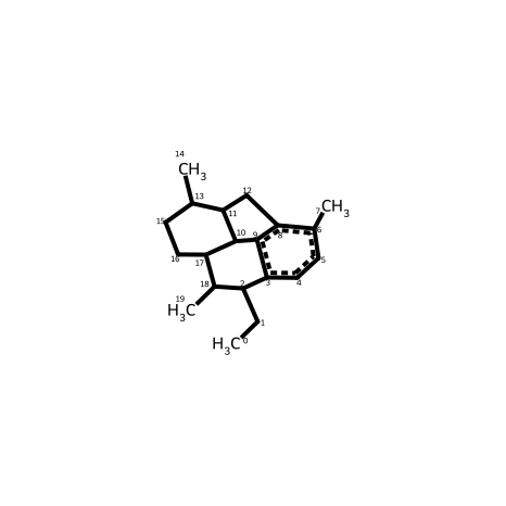 CCC1c2ccc(C)c3c2C2C(C3)C(C)CCC2C1C